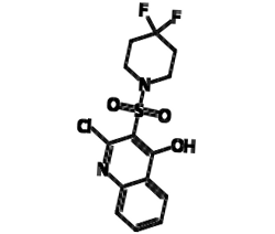 O=S(=O)(c1c(Cl)nc2ccccc2c1O)N1CCC(F)(F)CC1